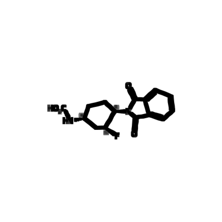 O=C(O)N[C@@H]1CC[C@@H](N2C(=O)c3ccccc3C2=O)[C@@H](F)C1